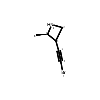 C[C@H]1NCC1C#CBr